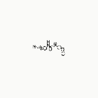 CN(C)CCn1cc2ccc(NC(=O)CCC(=O)c3ccc(Oc4ccccc4)cc3)cc2n1